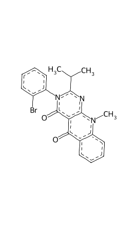 CC(C)c1nc2c(c(=O)c3ccccc3n2C)c(=O)n1-c1ccccc1Br